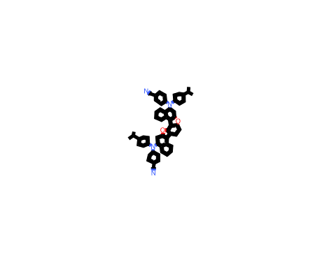 CC(C)c1ccc(N(c2ccc(C#N)cc2)c2cc3oc4c(ccc5oc6cc(N(c7ccc(C#N)cc7)c7ccc(C(C)C)cc7)c7ccccc7c6c54)c3c3ccccc23)cc1